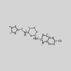 Clc1ccc2nc(NC3CCCC(NCc4ccsc4)C3)ccc2c1